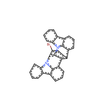 Brc1cc2c3cccc4c5ccccc5n(c34)c3c2c2cccc4c5ccccc5n(c13)c42